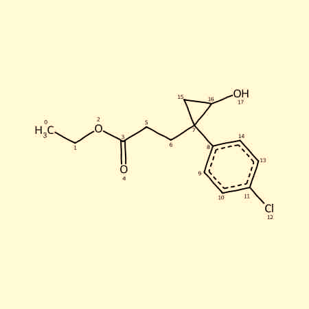 CCOC(=O)CCC1(c2ccc(Cl)cc2)CC1O